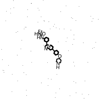 CCNC(=O)Nc1cccc(-c2cnc3cc(-c4ccc(OC5CCNCC5)cc4)ccn23)c1